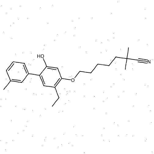 CCc1cc(-c2cccc(C)c2)c(O)cc1OCCCCCC(C)(C)C#N